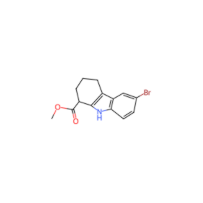 COC(=O)C1CCCc2c1[nH]c1ccc(Br)cc21